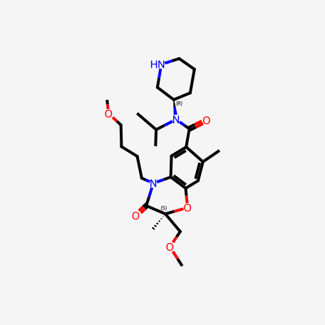 COCCCCN1C(=O)[C@](C)(COC)Oc2cc(C)c(C(=O)N(C(C)C)[C@@H]3CCCNC3)cc21